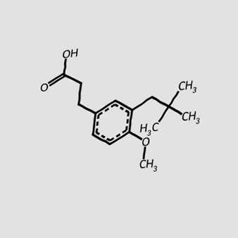 COc1ccc(CCC(=O)O)cc1CC(C)(C)C